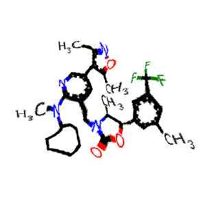 Cc1cc([C@H]2OC(=O)N(Cc3cc(-c4c(C)noc4C)cnc3N(C)C3CCCCC3)[C@H]2C)cc(C(F)(F)F)c1